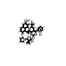 [2H]C([2H])(Oc1nc(N2CC3CCC2CN3)c2cc(C(F)(F)F)n(-c3cc(O)cc4ccc(F)c(C#C)c34)c(=O)c2n1)C1(CN2CCCC2)CC1